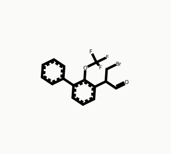 O=CC(CBr)c1cccc(-c2ccccc2)c1OC(F)(F)F